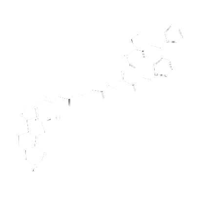 CC(C)C[C@H](NC(=O)N[C@@H](CCC(=O)OCOC(=O)CC[C@@H](C)[C@H]1CCC2C3CCC4C[C@H](O)CC[C@]4(C)C3C[C@H](O)[C@@]21C)C(=O)OCc1ccccc1)C(=O)OCc1ccccc1